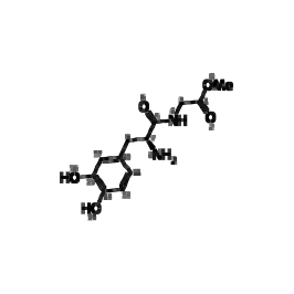 COC(=O)CNC(=O)[C@@H](N)Cc1ccc(O)c(O)c1